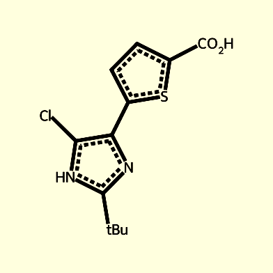 CC(C)(C)c1nc(-c2ccc(C(=O)O)s2)c(Cl)[nH]1